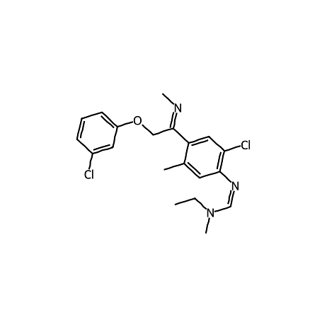 CCN(C)/C=N\c1cc(C)c(/C(COc2cccc(Cl)c2)=N/C)cc1Cl